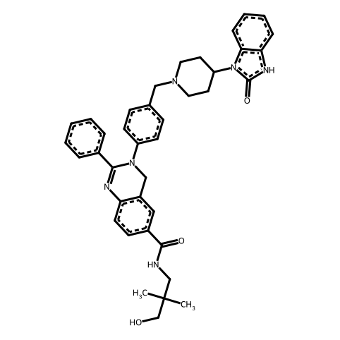 CC(C)(CO)CNC(=O)c1ccc2c(c1)CN(c1ccc(CN3CCC(n4c(=O)[nH]c5ccccc54)CC3)cc1)C(c1ccccc1)=N2